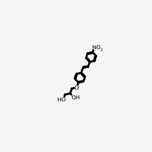 O=[N+]([O-])c1ccc(C=Cc2ccc(OCC(O)CO)cc2)cc1